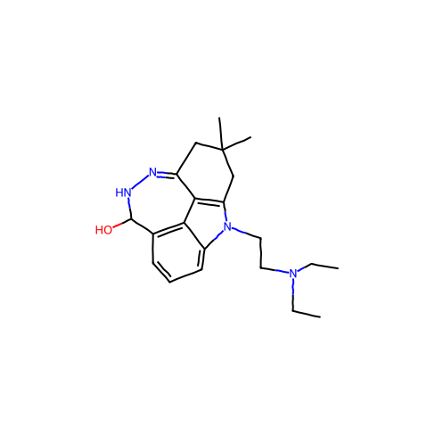 CCN(CC)CCn1c2c3c4c(cccc41)C(O)NN=C3CC(C)(C)C2